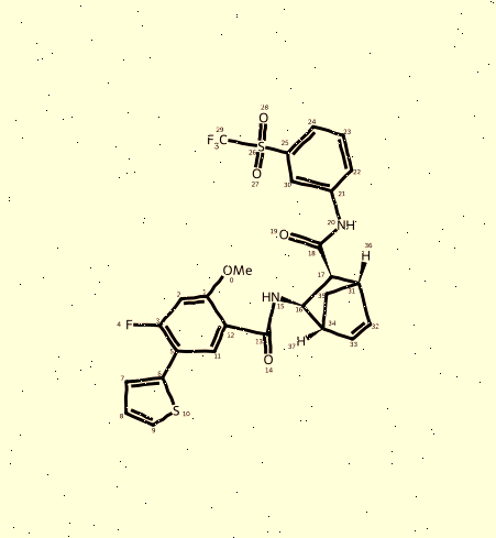 COc1cc(F)c(-c2cccs2)cc1C(=O)N[C@H]1[C@@H](C(=O)Nc2cccc(S(=O)(=O)C(F)(F)F)c2)[C@@H]2C=C[C@H]1C2